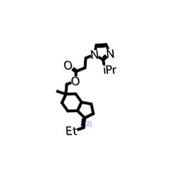 CC/C=C1/CCC2CC(C)(COC(=O)CCn3ccnc3C(C)C)CCC12